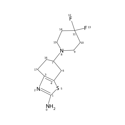 Nc1nc2c(s1)CC(N1CCC(F)(F)CC1)CC2